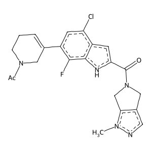 CC(=O)N1CCC=C(c2cc(Cl)c3cc(C(=O)N4Cc5cnn(C)c5C4)[nH]c3c2F)C1